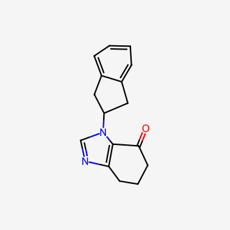 O=C1CCCc2ncn(C3Cc4ccccc4C3)c21